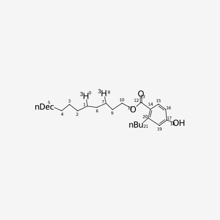 [3H]C(CCCCCCCCCCCCC)CC([3H])CCOC(=O)c1ccc(O)cc1CCCC